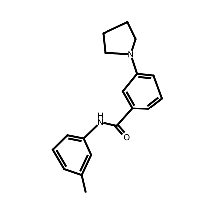 Cc1cccc(NC(=O)c2cccc(N3CCCC3)c2)c1